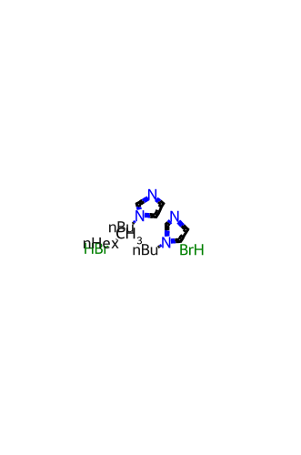 Br.Br.CCCCCCC.CCCCn1ccnc1.CCCCn1ccnc1